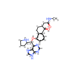 CNC(=O)CC1CCc2c(O[C@@H](c3ncnc4[nH]cnc34)C3CCCN3)cccc2C1=O